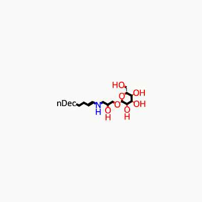 CCCCCCCCCCCCC=CNCC(O)CO[C@@H]1O[C@H](CO)[C@H](O)[C@H](O)[C@H]1O